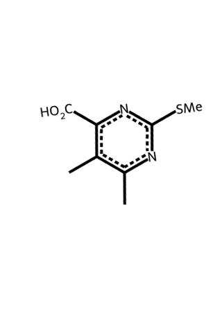 CSc1nc(C)c(C)c(C(=O)O)n1